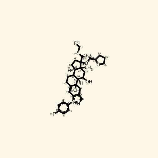 CC12Cc3cnn(-c4ccc(F)cc4)c3C=C1CCC1[C@@H]2C(O)CC2(C)[C@H]1CCC2(OC(=O)C1CCCO1)C(=O)SCF